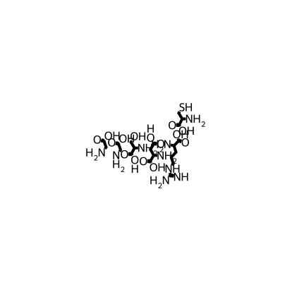 N=C(N)NCCCC(N)C(=O)O.NC(CC(=O)O)C(=O)O.NC(CO)C(=O)O.NC(CS)C(=O)O.NCC(=O)O.NCC(=O)O